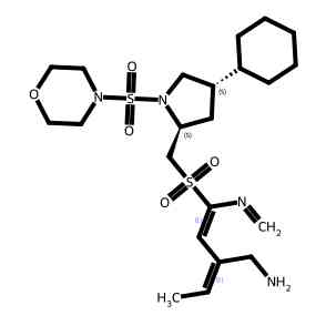 C=N/C(=C\C(=C/C)CN)S(=O)(=O)C[C@@H]1C[C@@H](C2CCCCC2)CN1S(=O)(=O)N1CCOCC1